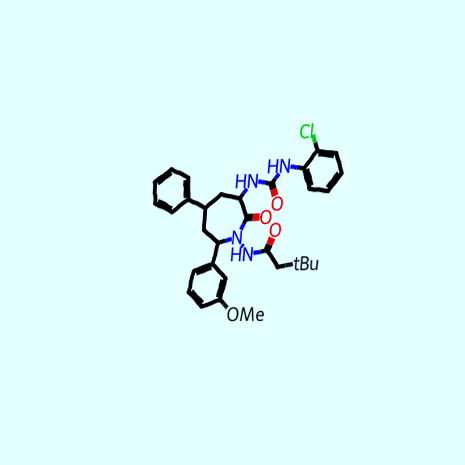 COc1cccc(C2CC(c3ccccc3)CC(NC(=O)Nc3ccccc3Cl)C(=O)N2NC(=O)CC(C)(C)C)c1